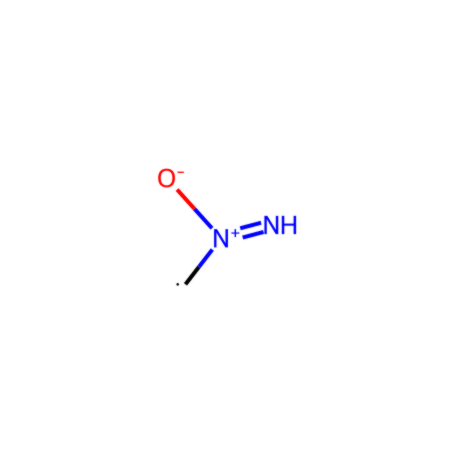 [CH2][N+](=N)[O-]